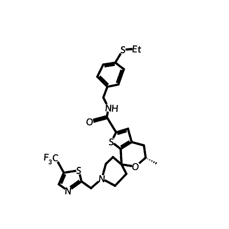 CCSc1ccc(CNC(=O)c2cc3c(s2)C2(CCN(Cc4ncc(C(F)(F)F)s4)CC2)O[C@@H](C)C3)cc1